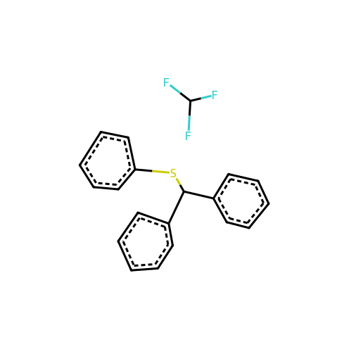 FC(F)F.c1ccc(SC(c2ccccc2)c2ccccc2)cc1